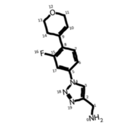 NCc1cn(-c2ccc(C3=CCOCC3)c(F)c2)nn1